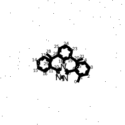 Cc1ccccc1-c1nnc(-c2ccccc2)n1-c1c(C(C)C)cccc1C(C)C